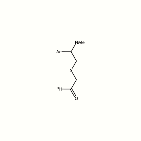 [3H]C(=O)CSCC(NC)C(C)=O